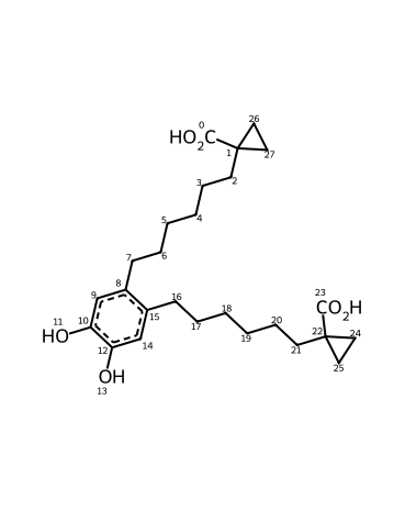 O=C(O)C1(CCCCCCc2cc(O)c(O)cc2CCCCCCC2(C(=O)O)CC2)CC1